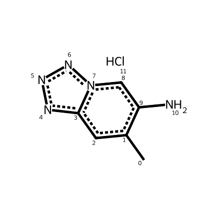 Cc1cc2nnnn2cc1N.Cl